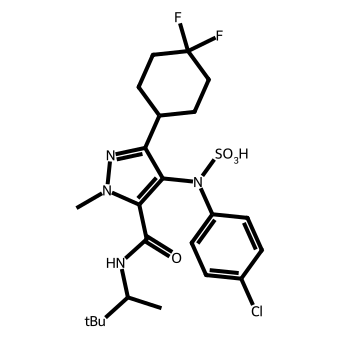 CC(NC(=O)c1c(N(c2ccc(Cl)cc2)S(=O)(=O)O)c(C2CCC(F)(F)CC2)nn1C)C(C)(C)C